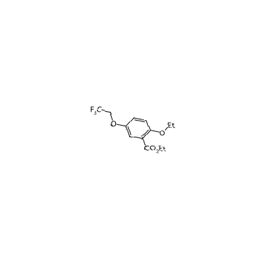 CCOC(=O)c1cc(OCC(F)(F)F)ccc1OCC